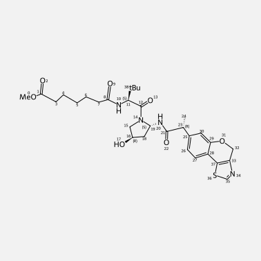 COC(=O)CCCCCC(=O)N[C@H](C(=O)N1C[C@H](O)C[C@H]1NC(=O)[C@H](C)c1ccc2c(c1)OCc1ncsc1-2)C(C)(C)C